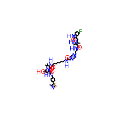 Cc1ncsc1-c1ccc(CNC(=O)[C@@H]2C[C@@H](O)CN2C(=O)[C@@H](NC(=O)CCCCCCCNC(=O)CN2CCN(CCCNC(=O)c3c(C)[nH]c(/C=C4\C(=O)Nc5ccc(F)cc54)c3C)CC2)C(C)(C)C)cc1